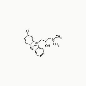 CN(C)CC(O)CC12CCC(=C3C=CC(Cl)C=C31)c1ccccc12